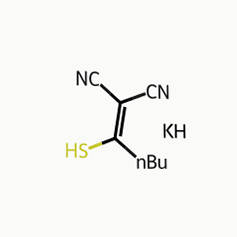 CCCCC(S)=C(C#N)C#N.[KH]